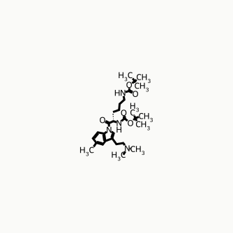 Cc1ccc2c(c1)c(CCN(C)C)cn2C(=O)[C@H](CCCCNC(=O)OC(C)(C)C)NC(=O)OC(C)(C)C